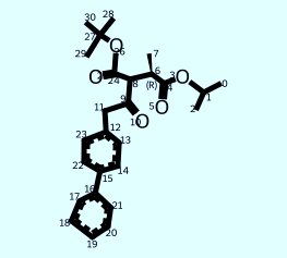 CC(C)OC(=O)[C@H](C)C(C(=O)Cc1ccc(-c2ccccc2)cc1)C(=O)OC(C)(C)C